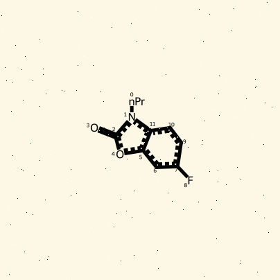 CCCn1c(=O)oc2cc(F)ccc21